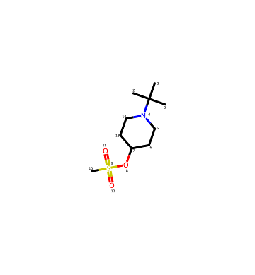 CC(C)(C)N1CCC(OS(C)(=O)=O)CC1